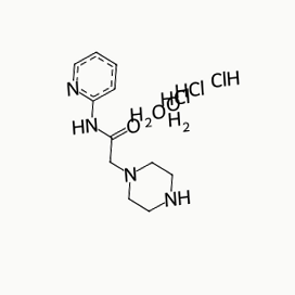 Cl.Cl.Cl.O.O.O=C(CN1CCNCC1)Nc1ccccn1